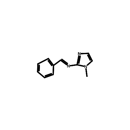 Cn1ccnc1/N=C/c1ccccc1